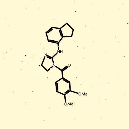 COc1ccc(C(=O)N2CCN=C2Nc2cccc3c2CCC3)cc1OC